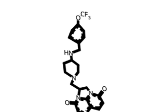 O=c1ccc2ncc(=O)n3c2n1CC3CN1CCC(NCc2ccc(OC(F)(F)F)cc2)CC1